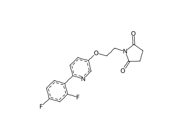 O=C1CCC(=O)N1CCOc1ccc(-c2ccc(F)cc2F)nc1